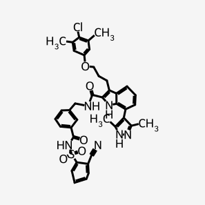 Cc1cc(OCCCc2c(C(=O)NCc3cccc(C(=O)NS(=O)(=O)c4ccccc4C#N)c3)[nH]c3c(-c4c(C)n[nH]c4C)cccc23)cc(C)c1Cl